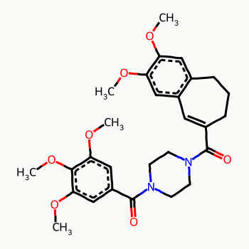 COc1cc2c(cc1OC)CCCC(C(=O)N1CCN(C(=O)c3cc(OC)c(OC)c(OC)c3)CC1)=C2